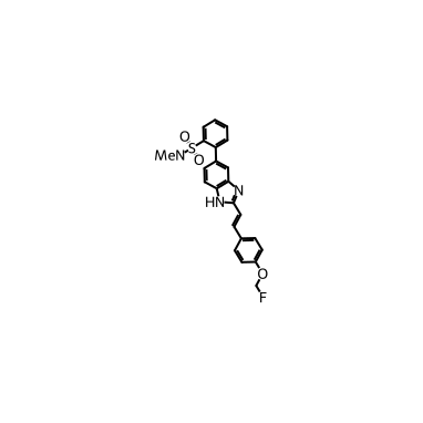 CNS(=O)(=O)c1ccccc1-c1ccc2[nH]c(/C=C/c3ccc(OCF)cc3)nc2c1